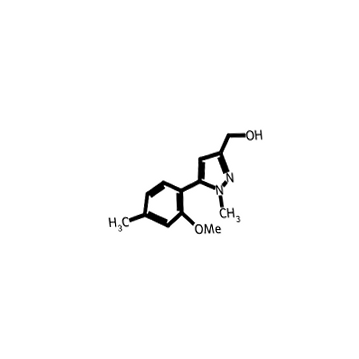 COc1cc(C)ccc1-c1cc(CO)nn1C